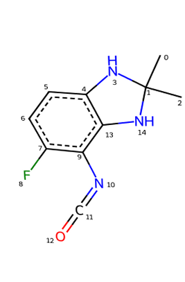 CC1(C)Nc2ccc(F)c(N=C=O)c2N1